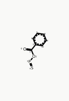 O=C(OP=S)c1ccccc1